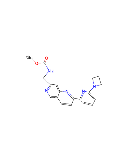 CC(C)(C)OC(=O)NCc1cc2nc(-c3cccc(N4CCC4)n3)ccc2cn1